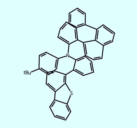 CC(C)(C)c1ccc(N(c2ccccc2-c2cccc3c2sc2ccccc23)c2ccccc2-c2cccc3cccc(-c4ccccc4)c23)cc1